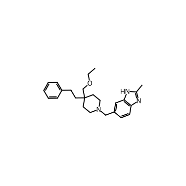 CCOCC1(CCc2ccccc2)CCN(Cc2ccc3nc(C)[nH]c3c2)CC1